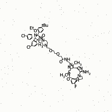 CCOc1cc(C(C)(C)C)ccc1C1=N[C@]2(c3ccc(Cl)cc3)c3cc(Cl)ccc3[C@@]2(C)N1C(=O)N1CCN(CCOCCOCCC(=O)NCCn2nc3c(c2C)-c2cnc(N)c(c2)N2CCC[C@@H]2c2cc(F)ccc2C(=O)N(C)C3)CC1